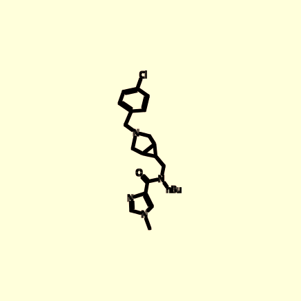 CCCCN(CC1C2CN(Cc3ccc(Cl)cc3)CC21)C(=O)c1cn(C)cn1